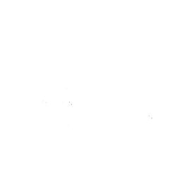 Cl.O=C(Nc1ccc(C2CCNC2)cc1)c1nccc2ccsc12